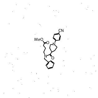 COC(=O)CCCN(Cc1ccccc1)C(=O)C1CCN(c2ccc(C#N)cc2)CC1